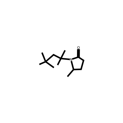 CC1CCC(=O)N1C(C)(C)CC(C)(C)C